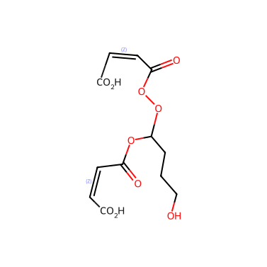 O=C(O)/C=C\C(=O)OOC(CCCO)OC(=O)/C=C\C(=O)O